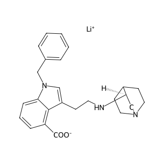 O=C([O-])c1cccc2c1c(CCN[C@@H]1CN3CCC1CC3)cn2Cc1ccccc1.[Li+]